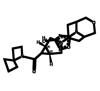 Cc1noc(N2C3COCC2CC(N2C[C@@H]4C(C(=O)N5CCC56CCC6)[C@@H]4C2)C3)n1